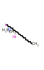 CCCCCCCCCCCCCCCCCC(CCCI)N(C)C.I